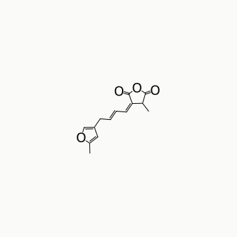 Cc1cc(CC=CC=C2C(=O)OC(=O)C2C)co1